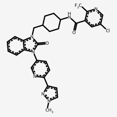 Cn1ccc(-c2ccc(-n3c(=O)n(CC4CCC(NC(=O)c5cc(Cl)cnc5C(F)(F)F)CC4)c4ccccc43)cn2)n1